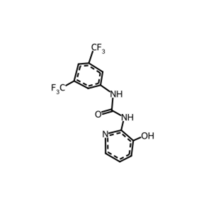 O=C(Nc1cc(C(F)(F)F)cc(C(F)(F)F)c1)Nc1ncccc1O